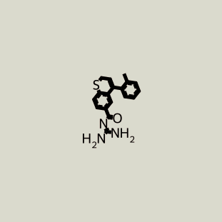 Cc1ccccc1C1=CCSc2ccc(C(=O)N=C(N)N)cc21